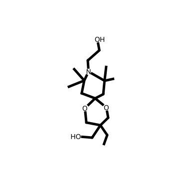 CCC1(CO)COC2(CC(C)(C)N(CCO)C(C)(C)C2)OC1